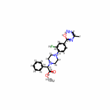 C=C(C)/N=C(\ON)c1ccc(N2CCN(C(C(=O)OC(C)(C)C)c3ccccc3)CC2)c(F)c1